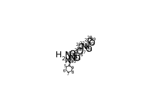 NC1=N[C@@H](C2CCCCC2)CN1S(=O)(=O)c1ccc2c(c1)CCN2C(=O)c1ccco1